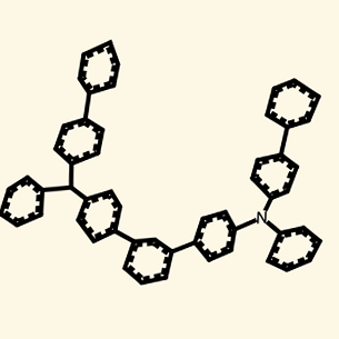 c1ccc(-c2ccc(C(c3ccccc3)c3ccc(-c4cccc(-c5ccc(N(c6ccccc6)c6ccc(-c7ccccc7)cc6)cc5)c4)cc3)cc2)cc1